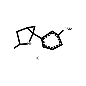 COc1cccc(C23CC2CC(C)N3)c1.Cl